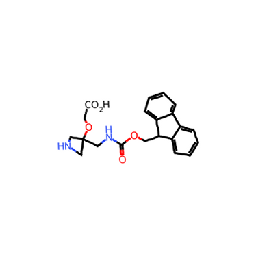 O=C(O)COC1(CNC(=O)OCC2c3ccccc3-c3ccccc32)CNC1